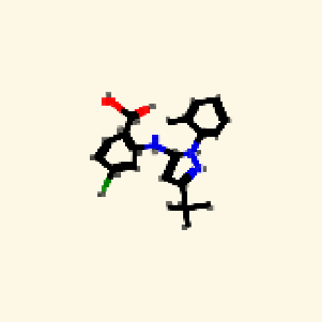 Cc1ccccc1-n1nc(C(C)(C)C)cc1Nc1cc(F)ccc1C(=O)O